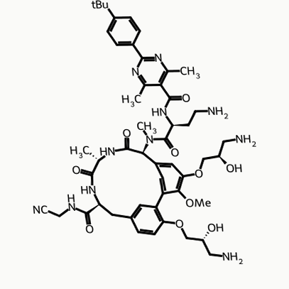 COc1c(OC[C@H](O)CN)cc2cc1-c1cc(ccc1OC[C@H](O)CN)C[C@@H](C(=O)NCC#N)NC(=O)[C@H](C)NC(=O)[C@H]2N(C)C(=O)[C@H](CCN)NC(=O)c1c(C)nc(-c2ccc(C(C)(C)C)cc2)nc1C